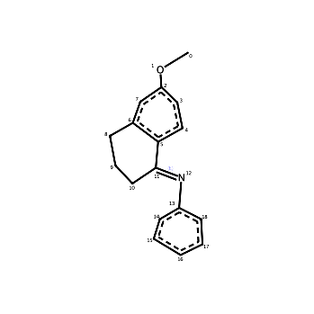 COc1ccc2c(c1)CCC/C2=N\c1ccccc1